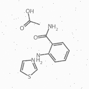 CC(=O)O.NC(=O)c1ccccc1N.c1cscn1